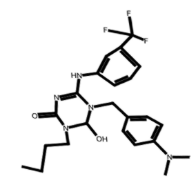 CCCCN1C(=O)N=C(Nc2cccc(C(F)(F)F)c2)N(Cc2ccc(N(C)C)cc2)C1O